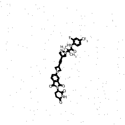 CC(C)(C(=O)Nc1ccc(C(F)(F)F)cc1F)n1cc(C#CC2CN(c3ccc4c(c3)C(=O)N(C3CCC(=O)NC3=O)C4=O)C2)cn1